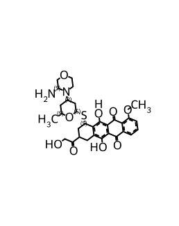 COc1cccc2c1C(=O)c1c(O)c3c(c(O)c1C2=O)CC(C(=O)CO)C[C@@H]3S[C@H]1C[C@H](N2CCOC[C@H]2N)C[C@H](C)O1